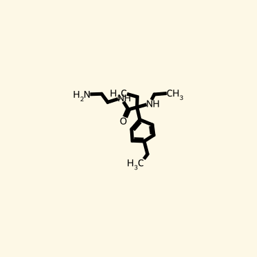 CCNC(CC)(C(=O)NCCN)c1ccc(CC)cc1